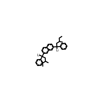 [Li][C](CC(C)CC)(c1ccccc1)c1ccc2ccc([C]([Li])(CC(C)CC)c3ccccc3)cc2c1